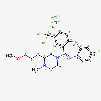 COCCCC1CN(C2=Nc3ccc(F)cc3Nc3ccc(C(F)(F)F)cc32)CCN1C.Cl.Cl